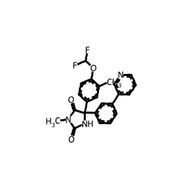 Cc1cc(C2(c3cccc(-c4cccnc4)c3)NC(=O)N(C)C2=O)ccc1OC(F)F